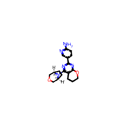 Nc1ccc(-c2nc3c(c(N4[C@@H]5CC[C@H]4COC5)n2)CCCO3)cn1